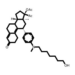 CC(=O)O[C@]1(C(C)=O)CC[C@H]2C3CCC4=CC(=O)CCC4=C3[C@@H](c3ccc(N(C)CCCCCCCO)cc3)C[C@@]21C